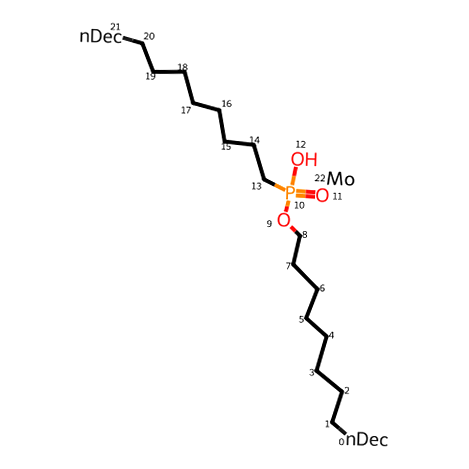 CCCCCCCCCCCCCCCCCCOP(=O)(O)CCCCCCCCCCCCCCCCCC.[Mo]